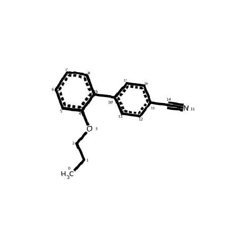 CCCOc1ccccc1-c1ccc(C#N)cc1